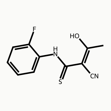 CC(O)=C(C#N)C(=S)Nc1ccccc1F